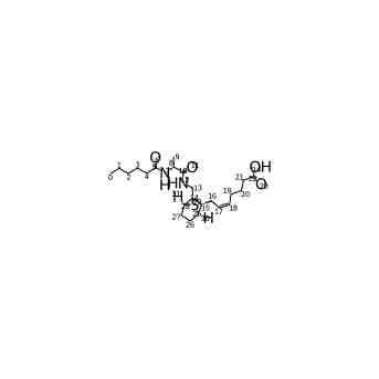 CCCCCC(=O)NC(C)C(=O)NC[C@H]1[C@@H](C/C=C\CCCC(=O)O)[C@H]2CC[C@@H]1S2